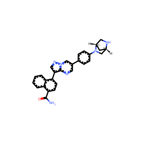 NC(=O)c1ccc(-c2cnn3cc(-c4ccc(N5C[C@@H]6C[C@H]5CN6)cc4)cnc23)c2ccccc12